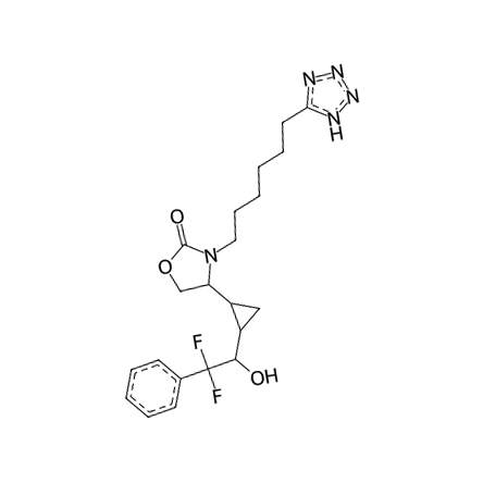 O=C1OCC(C2CC2C(O)C(F)(F)c2ccccc2)N1CCCCCCc1nnn[nH]1